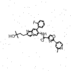 Cc1cc(-c2nc(C(=O)Nc3cn4cc(CCC(C)(C)O)nc4cc3-c3ccccc3F)co2)ccn1